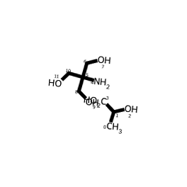 CC(O)C(=O)O.NC(CO)(CO)CO